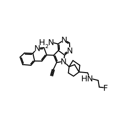 C#Cc1c(-c2cnc3ccccc3c2)c2c(N)ncnc2n1C12CCC(CNCCF)(CC1)C2